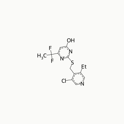 CCc1cncc(Cl)c1CSc1nc(O)cc(C(C)(F)F)n1